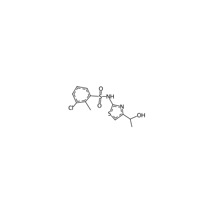 Cc1c(Cl)cccc1S(=O)(=O)Nc1nc(C(C)O)cs1